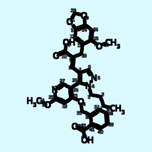 CCCCn1ncc(/C=C(\Cc2cc3c(cc2OC)OCO3)C(=O)O)c1-c1cnc(OC)cc1OCc1ccccc1C(=O)O